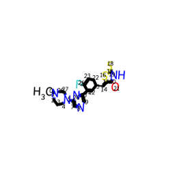 CN1CCCN(c2cncc(C3=C[C@H](/C=C4\SC(=S)NC4=O)CC=C3F)n2)CC1